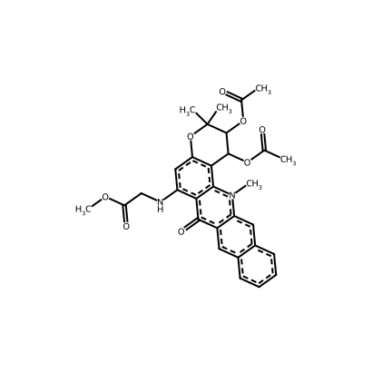 COC(=O)CNc1cc2c(c3c1c(=O)c1cc4ccccc4cc1n3C)C(OC(C)=O)C(OC(C)=O)C(C)(C)O2